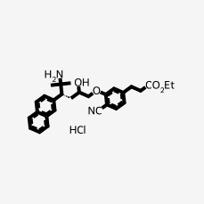 CCOC(=O)CCc1ccc(C#N)c(OCC(O)C[C@H](c2ccc3ccccc3c2)C(C)(C)N)c1.Cl